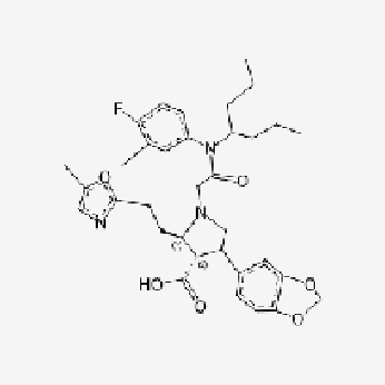 CCCC(CCC)N(C(=O)CN1CC(c2ccc3c(c2)OCO3)[C@H](C(=O)O)[C@H]1CCc1ncc(C)o1)c1ccc(F)c(C)c1